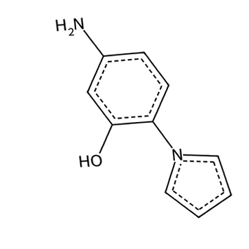 Nc1ccc(-n2cccc2)c(O)c1